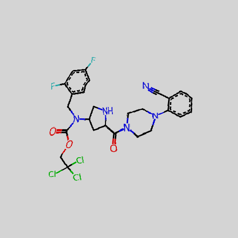 N#Cc1ccccc1N1CCN(C(=O)C2CC(N(Cc3ccc(F)cc3F)C(=O)OCC(Cl)(Cl)Cl)CN2)CC1